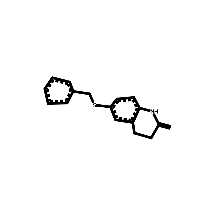 C=C1CCc2cc(SCc3ccccc3)ccc2N1